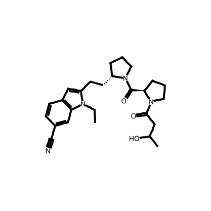 CCn1c(CC[C@@H]2CCCN2C(=O)[C@H]2CCCN2C(=O)CC(C)O)cc2ccc(C#N)cc21